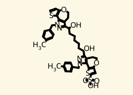 Cc1ccc(Cn2nc(C(O)CCCCCC(O)c3nn(Cc4ccc(C)cc4)c4c3CCOc3cc(S(=O)(=O)O)sc3-4)c3c2-c2sccc2OCC3)cc1